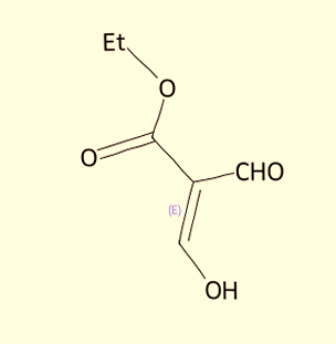 CCOC(=O)/C(C=O)=C/O